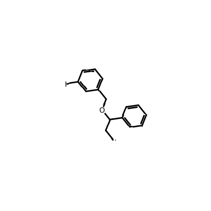 [CH2]CC(OCc1cccc(I)c1)c1ccccc1